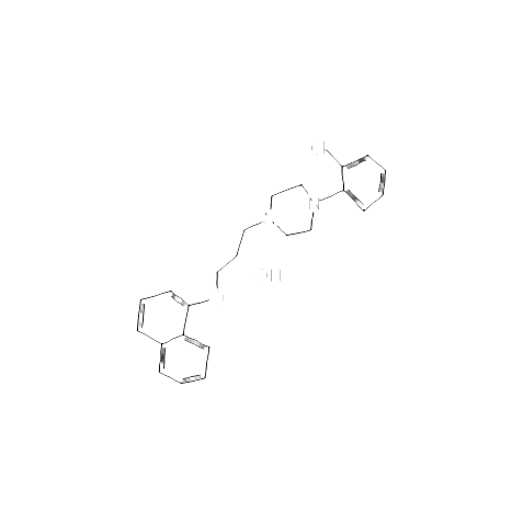 O[C@H](COc1cccc2ccccc12)CN1CCN(c2ccccc2Cl)CC1